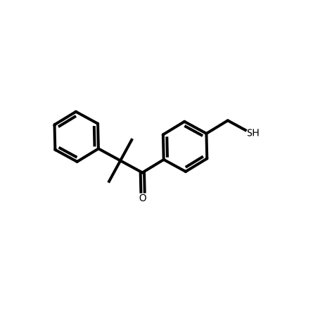 CC(C)(C(=O)c1ccc(CS)cc1)c1ccccc1